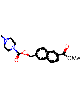 COC(=O)c1ccc2cc(COC(=O)N3CCN(C)CC3)ccc2c1